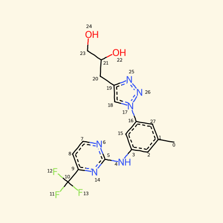 Cc1cc(Nc2nccc(C(F)(F)F)n2)cc(-n2cc(CC(O)CO)nn2)c1